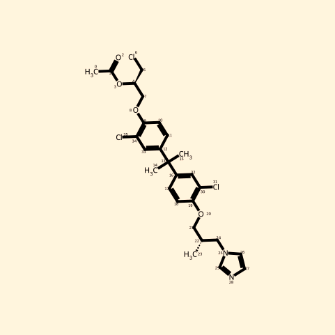 CC(=O)O[C@@H](CCl)COc1ccc(C(C)(C)c2ccc(OC[C@@H](C)Cn3ccnc3)c(Cl)c2)cc1Cl